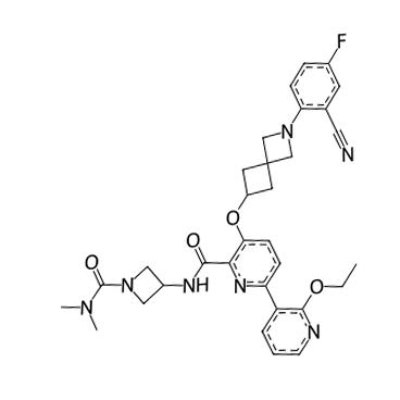 CCOc1ncccc1-c1ccc(OC2CC3(C2)CN(c2ccc(F)cc2C#N)C3)c(C(=O)NC2CN(C(=O)N(C)C)C2)n1